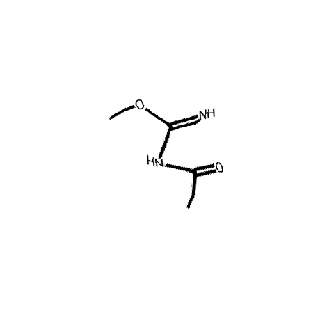 COC(=N)NC(C)=O